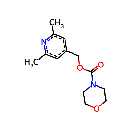 Cc1cc(COC(=O)N2CCOCC2)cc(C)n1